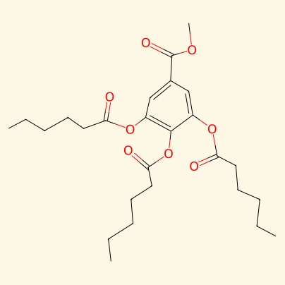 CCCCCC(=O)Oc1cc(C(=O)OC)cc(OC(=O)CCCCC)c1OC(=O)CCCCC